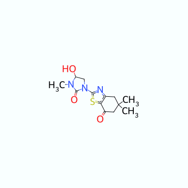 CN1C(=O)N(c2nc3c(s2)C(=O)CC(C)(C)C3)CC1O